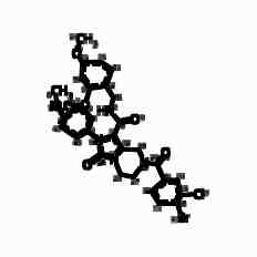 COc1ccc(-n2c(C(=O)NCc3ccc(OC)cc3OC)c3n(c2=O)CCN(C(=O)c2ccc(Br)c(Cl)c2)C3)cc1